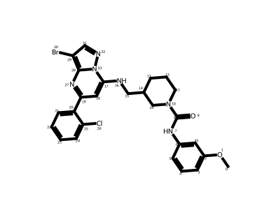 COc1cccc(NC(=O)N2CCCC(CNc3cc(-c4ccccc4Cl)nc4c(Br)cnn34)C2)c1